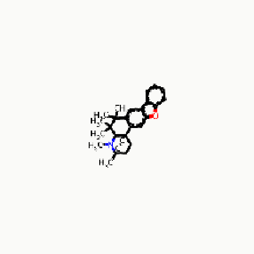 CN1C2C3(CCC1(C)CC3)c1cc3oc4ccccc4c3cc1C(C)(C)C2(C)C